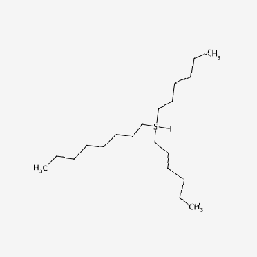 CCCCCCCC[Si](I)(CCCCCC)CCCCCC